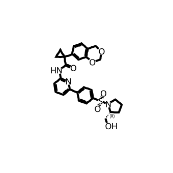 O=C(Nc1cccc(-c2ccc(S(=O)(=O)N3CCC[C@@H]3CO)cc2)n1)C1(c2ccc3c(c2)OCOC3)CC1